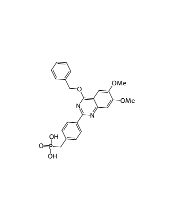 COc1cc2nc(-c3ccc(CP(=O)(O)O)cc3)nc(OCc3ccccc3)c2cc1OC